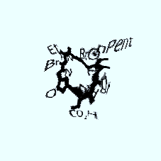 CCCCCOC(C)C1=C(C)c2nc1c(Br)c1[nH]c(c(Br)c3nc4c(c5[nH]c(c(C)c5CCC(=O)O)c2Br)CC(=O)C4=C3)c(CC)c1C